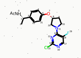 CC(=O)N[C@@H](C)c1ccc(O[C@@H]2CCN(c3nc(Cl)ncc3F)C2)cc1